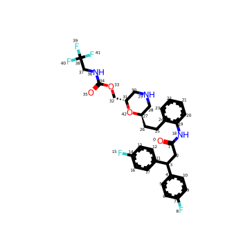 O=C(CC(c1ccc(F)cc1)c1ccc(F)cc1)Nc1ccccc1CC[C@@H]1CNC[C@@H](COC(=O)NCC(F)(F)F)O1